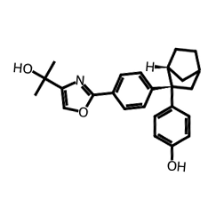 CC(C)(O)c1coc(-c2ccc([C@]3(c4ccc(O)cc4)CC4CC[C@@H]3C4)cc2)n1